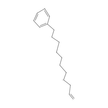 C=CC[CH]CCCCCCCc1ccccc1